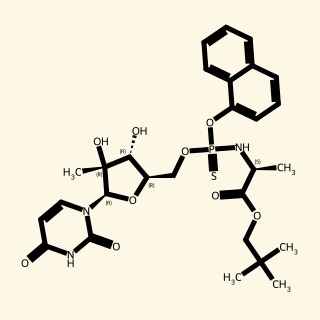 C[C@H](NP(=S)(OC[C@H]1O[C@@H](n2ccc(=O)[nH]c2=O)[C@](C)(O)[C@@H]1O)Oc1cccc2ccccc12)C(=O)OCC(C)(C)C